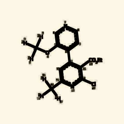 [2H]C([2H])([2H])Oc1cnccc1-c1cc(C([2H])([2H])[2H])nc(Cl)c1C(=O)OCC